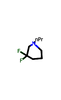 [CH2]CCN1CCCC(F)(F)C1